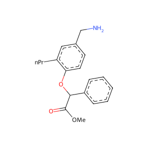 CCCc1cc(CN)ccc1OC(C(=O)OC)c1ccccc1